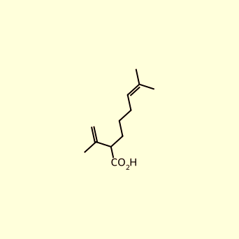 C=C(C)C(CCCC=C(C)C)C(=O)O